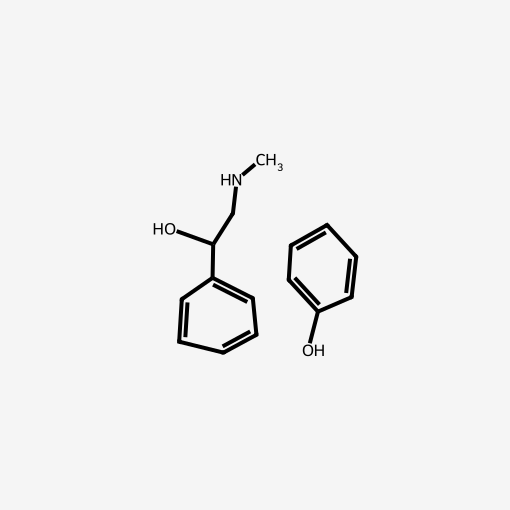 CNCC(O)c1ccccc1.Oc1ccccc1